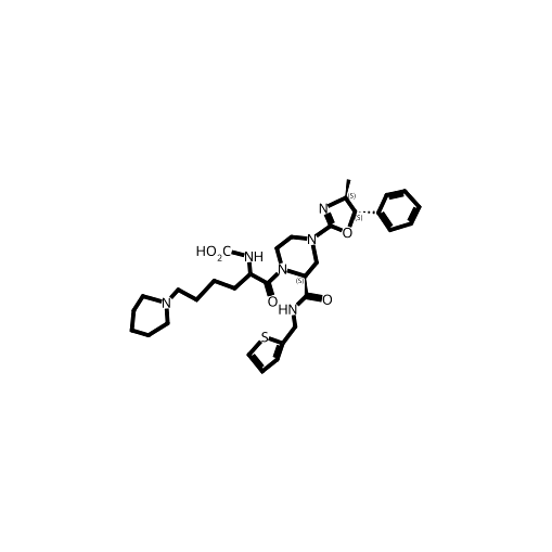 C[C@@H]1N=C(N2CCN(C(=O)C(CCCCN3CCCCC3)NC(=O)O)[C@H](C(=O)NCc3cccs3)C2)O[C@H]1c1ccccc1